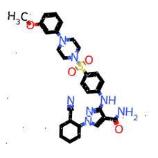 COc1cccc(N2CCN(S(=O)(=O)c3ccc(Nc4nn(C5CCCCC5C#N)cc4C(N)=O)cc3)CC2)c1